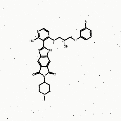 CN1CCC(N2C(=O)c3cc4nc(-c5c(NC[C@@H](O)COc6cccc(Br)c6)ccnc5O)[nH]c4cc3C2=O)CC1